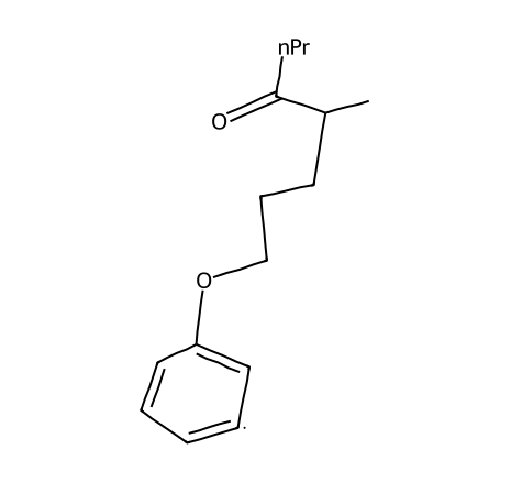 CCCC(=O)C(C)CCCOc1c[c]ccc1